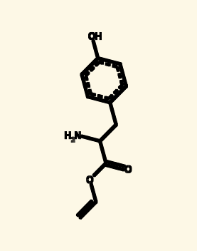 C=COC(=O)C(N)Cc1ccc(O)cc1